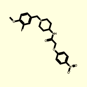 COc1ccc(CN2CCC(NC(=O)COc3ccc([N+](=O)[O-])cc3)CC2)cc1F